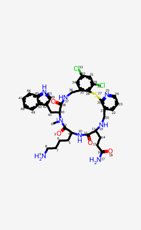 CN1C(=O)C(CCCCN)NC(=O)C(CCC(N)=O)NCc2cccnc2Sc2c(Cl)cc(Cl)cc2CNC(=O)C1Cc1c[nH]c2ccccc12